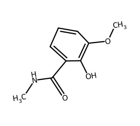 CNC(=O)c1cccc(OC)c1O